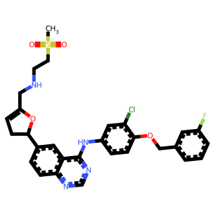 CS(=O)(=O)CCNCC1=CCC(c2ccc3ncnc(Nc4ccc(OCc5cccc(F)c5)c(Cl)c4)c3c2)O1